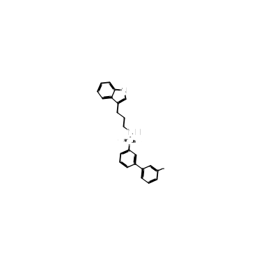 O=S(=O)(NCCCc1c[nH]c2ccccc12)c1cccc(-c2cccc(F)c2)c1